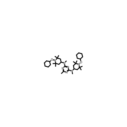 Cc1nc(N(C)C2CC(C)(C)N(OC3CCCCC3)C(C)(C)C2)nc(N(C)C2CC(C)(C)N(OC3CCCCC3)C(C)(C)C2)n1